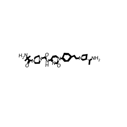 CC(N)[C@H]1CCN(CCc2ccc(-n3ccc(NC(=O)N4CCN(C(=O)C(C)(C)N)CC4)nc3=O)cc2)C1